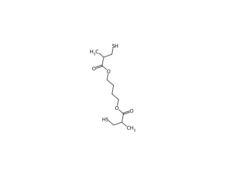 CC(CS)C(=O)OCCCCOC(=O)C(C)CS